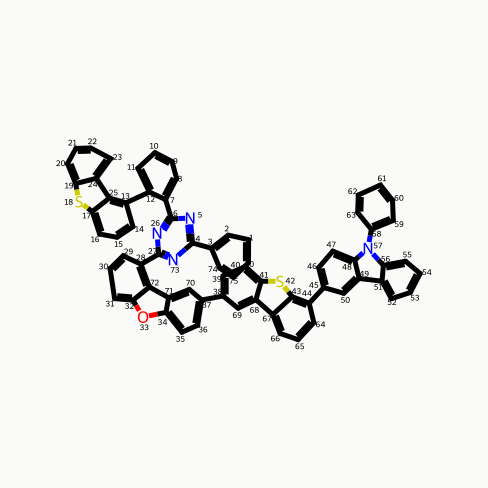 c1ccc(-c2nc(-c3ccccc3-c3cccc4sc5ccccc5c34)nc(-c3cccc4oc5ccc(-c6ccc7sc8c(-c9ccc%10c(c9)c9ccccc9n%10-c9ccccc9)cccc8c7c6)cc5c34)n2)cc1